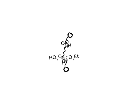 CCOC(=O)[C@H](CCc1ccccc1)N[C@@H](CCCCNC(=O)OCc1ccccc1)C(=O)O